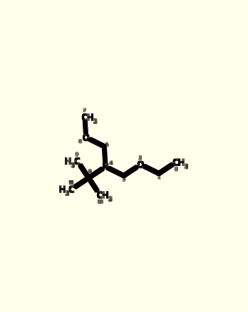 CCOCN(COC)C(C)(C)C